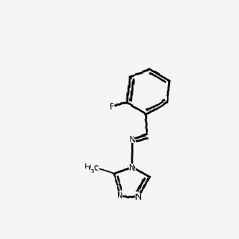 Cc1nncn1N=Cc1ccccc1F